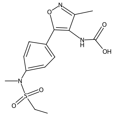 CCS(=O)(=O)N(C)c1ccc(-c2onc(C)c2NC(=O)O)cc1